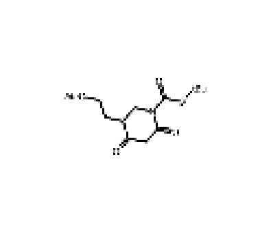 COCCC1CN(C(=O)OC(C)(C)C)C(=O)CC1=O